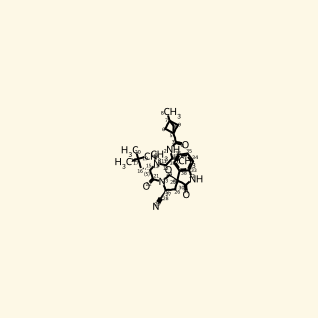 C[C@H](NC(=O)C12CC(C)(C1)C2)C(=O)N(C)[C@@H](CC(C)(C)C)C(=O)N1C[C@]2(C[C@H]1C#N)C(=O)Nc1ccccc12